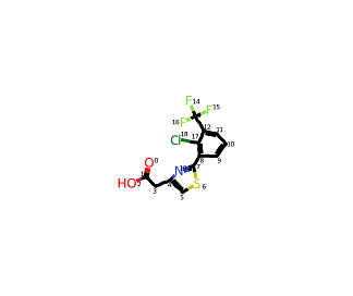 O=C(O)Cc1csc(-c2cccc(C(F)(F)F)c2Cl)n1